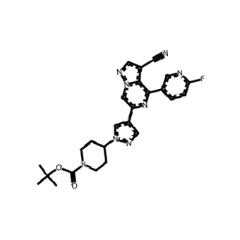 CC(C)(C)OC(=O)N1CCC(n2cc(-c3cn4ncc(C#N)c4c(-c4ccc(F)nc4)n3)cn2)CC1